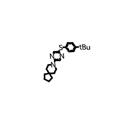 CC(C)(C)c1ccc(Sc2cnc(N3CCC4(CCCC4)CC3)cn2)cc1